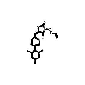 C=COON1C(=O)/C(=C\c2ccc(-c3c(C)cc(C)cc3C)cc2)SC1=S